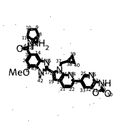 COc1cc(C(=O)N2CC3CCC2[C@@H]3N)cc2nc(-c3cc4ccc(-c5cnc6[nH]c(=O)oc6c5)nc4n3CC3CC3)n(C)c12